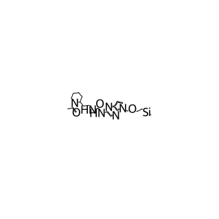 CC(=O)N1CCCCC1CCNC(=O)Nc1cnc2c(ccn2COCC[Si](C)(C)C)n1